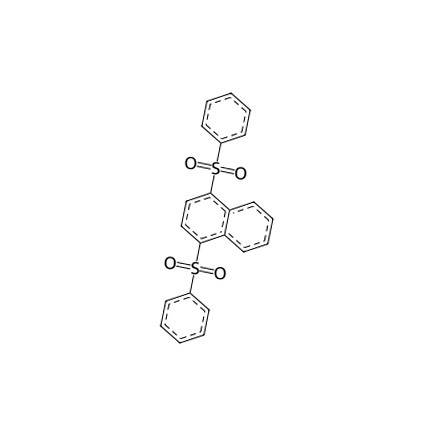 O=S(=O)(c1ccccc1)c1ccc(S(=O)(=O)c2ccccc2)c2ccccc12